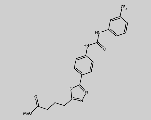 COC(=O)CCCc1nnc(-c2ccc(NC(=O)Nc3cccc(C(F)(F)F)c3)cc2)s1